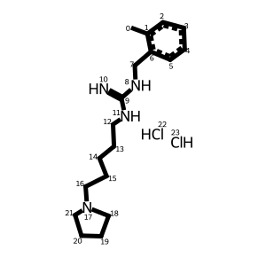 Cc1ccccc1CNC(=N)NCCCCCN1CCCC1.Cl.Cl